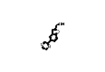 OCc1cc2cc(-c3cnccn3)ccc2o1